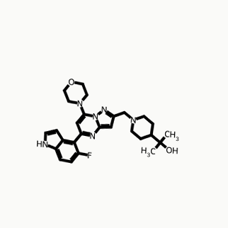 CC(C)(O)C1CCN(Cc2cc3nc(-c4c(F)ccc5[nH]ccc45)cc(N4CCOCC4)n3n2)CC1